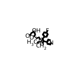 C=C(C)c1nc(-c2ccncc2)c(-c2ccc(F)cc2)n1CC[C@@H]1C[C@@H](O)CC(=O)O1